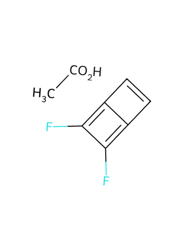 CC(=O)O.Fc1c2ccc-2c1F